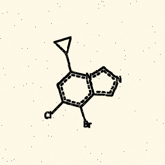 Clc1cc(C2CC2)n2cncc2c1Br